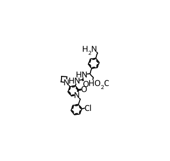 NCc1ccc(C(CC(=O)O)NC(=O)Nc2c(N3CCC3)ccn(Cc3ccccc3Cl)c2=O)cc1